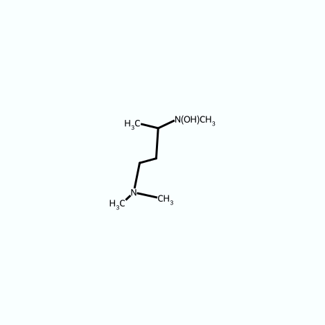 CC(CCN(C)C)N(C)O